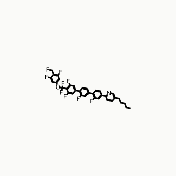 CCCCCc1ccc(-c2ccc(-c3ccc(-c4cc(F)c(C(F)(F)Oc5cc(F)c(CF)c(F)c5)c(F)c4)c(F)c3)c(F)c2)nc1